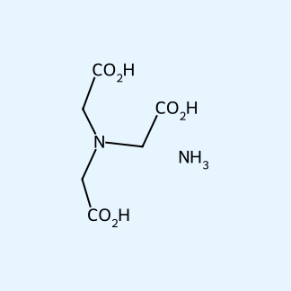 N.O=C(O)CN(CC(=O)O)CC(=O)O